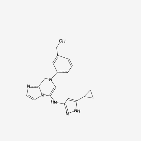 OCc1cccc(N2C=C(Nc3cc(C4CC4)[nH]n3)[N+]3C=CN=C3C2)c1